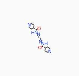 O=C(NN=C/C=N/NC(=O)c1ccncc1)c1ccncc1